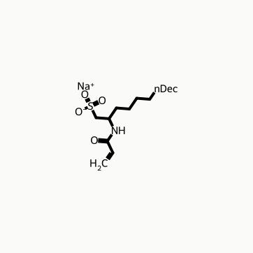 C=CC(=O)NC(CCCCCCCCCCCCCC)CS(=O)(=O)[O-].[Na+]